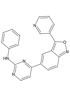 c1ccc(Nc2nccc(-c3ccc4noc(-c5cccnc5)c4c3)n2)cc1